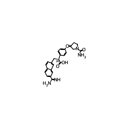 N=C(N)c1ccc2ccc(C[C@H](C(=O)O)c3ccc(O[C@H]4CCN(C(N)=O)C4)cc3)cc2c1